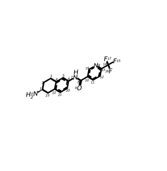 N[C@H]1CCc2cc(NC(=O)c3ccc(C(F)(F)F)nc3)ccc2C1